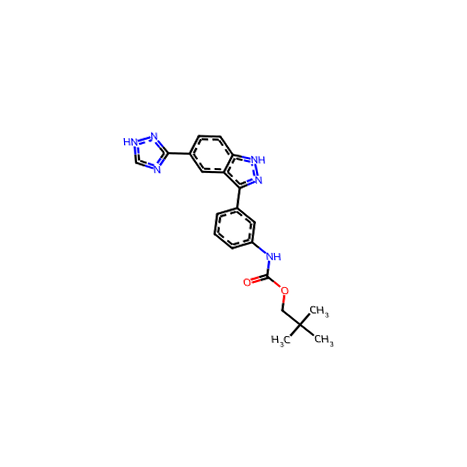 CC(C)(C)COC(=O)Nc1cccc(-c2n[nH]c3ccc(-c4nc[nH]n4)cc23)c1